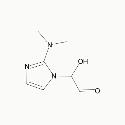 CN(C)c1nccn1C(O)C=O